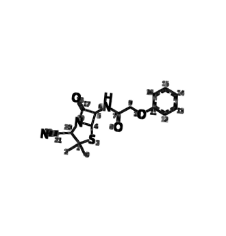 CC1(C)SC2C(NC(=O)COc3ccccc3)C(=O)N2C1C#N